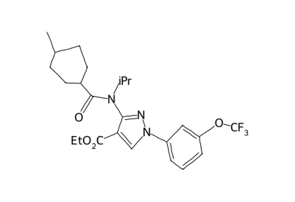 CCOC(=O)c1cn(-c2cccc(OC(F)(F)F)c2)nc1N(C(=O)C1CCC(C)CC1)C(C)C